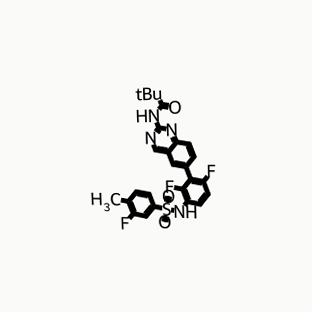 Cc1ccc(S(=O)(=O)Nc2ccc(F)c(-c3ccc4nc(NC(=O)C(C)(C)C)ncc4c3)c2F)cc1F